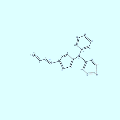 C=C/C=C/c1ccc(N(c2ccccc2)c2ccccc2)cc1